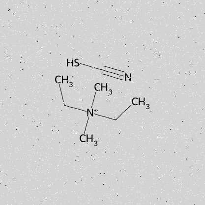 CC[N+](C)(C)CC.N#CS